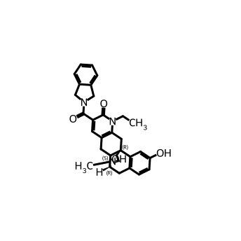 CCn1c2c(cc(C(=O)N3Cc4ccccc4C3)c1=O)C[C@@]1(O)[C@H]3Cc4ccc(O)cc4[C@@]1(CCN3C)C2